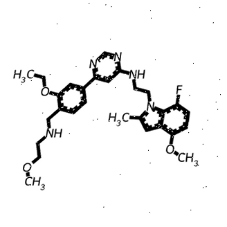 CCOc1cc(-c2cc(NCCn3c(C)cc4c(OC)ccc(F)c43)ncn2)ccc1CNCCOC